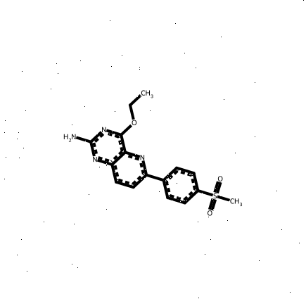 CCOc1nc(N)nc2ccc(-c3ccc(S(C)(=O)=O)cc3)nc12